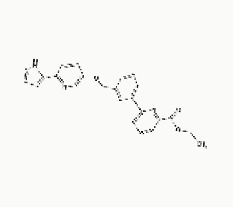 CCOC(=O)c1cccc(-c2cccc(COc3ccc(-c4ccn[nH]4)nc3)c2)n1